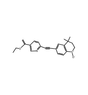 C=C(OCC)c1ccc(C#Cc2ccc3c(c2)C(C)(C)CC[S+]3[O-])nc1